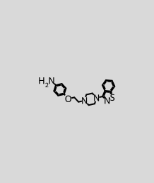 Nc1ccc(OCCN2CCN(c3nsc4ccccc34)CC2)cc1